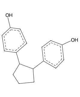 Oc1ccc(C2CCCC2c2ccc(O)cc2)cc1